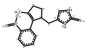 CC1=C(c2ccccc2[N+](=O)[O-])C(Cc2c[nH]c(=S)[nH]2)CC1